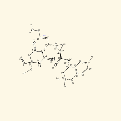 C=C[C@@]1(CC)CC(=O)N(C(/C=C/COC)[C@@H]2C[C@H]2C(=O)N[C@H]2CC(C)(C)Oc3ccc(C)cc32)C(=N)N1